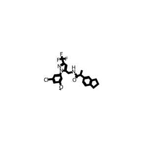 COc1cc(Cl)cc(-n2nc(C(F)(F)F)cc2CNC(=O)C(C)c2ccc3c(c2)CCC3)c1